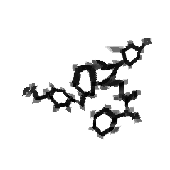 CCC1CCC(c2nc3ccc(CN4CCN(CC(F)(F)F)CC4)cc3n2CCC(=O)N(CC)C2CCCCC2)CC1